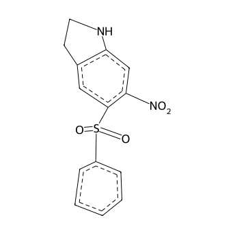 O=[N+]([O-])c1cc2c(cc1S(=O)(=O)c1ccccc1)CCN2